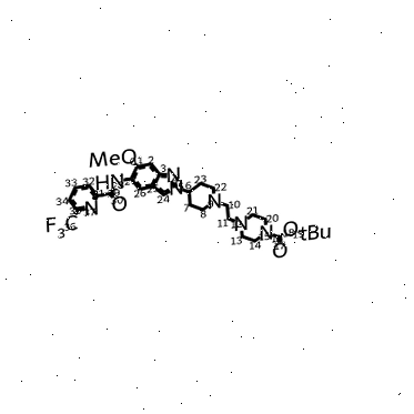 COc1cc2nn(C3CCN(CCN4CCN(C(=O)OC(C)(C)C)CC4)CC3)cc2cc1NC(=O)c1cccc(C(F)(F)F)n1